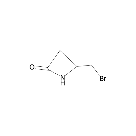 O=C1CC(CBr)N1